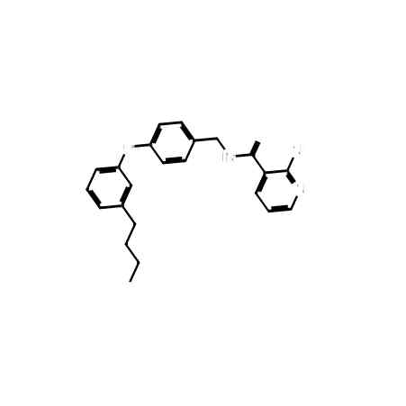 CCCCc1cccc(Oc2ccc(CNC(=O)c3cccnc3N)cc2)c1